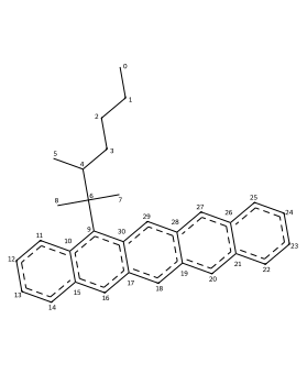 CCCCC(C)C(C)(C)c1c2ccccc2cc2cc3cc4ccccc4cc3cc12